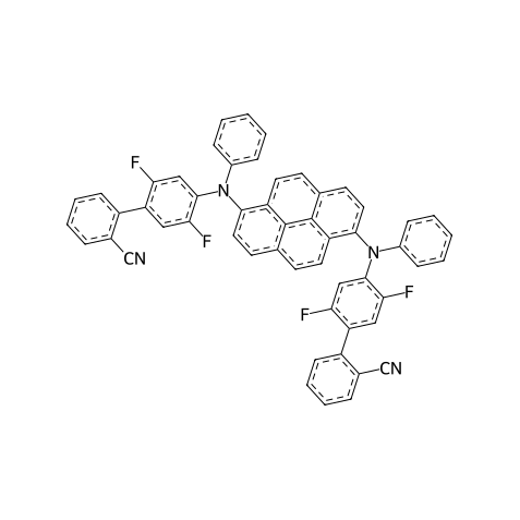 N#Cc1ccccc1-c1cc(F)c(N(c2ccccc2)c2ccc3ccc4c(N(c5ccccc5)c5cc(F)c(-c6ccccc6C#N)cc5F)ccc5ccc2c3c54)cc1F